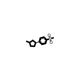 CC1CC[C@H](c2ccc(S(C)(=O)=O)cc2)C1